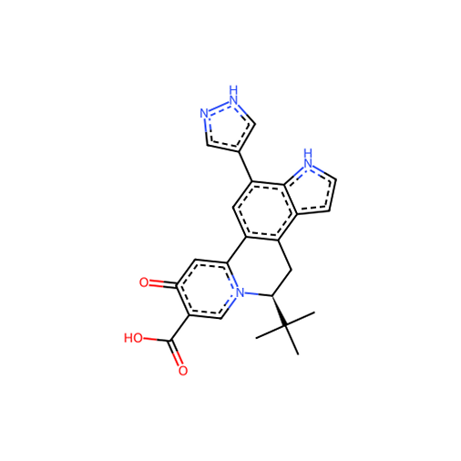 CC(C)(C)[C@@H]1Cc2c(cc(-c3cn[nH]c3)c3[nH]ccc23)-c2cc(=O)c(C(=O)O)cn21